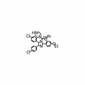 CCOc1ccc(C2=NC(c3ccc(Cl)cc3)C(c3ccc(Cl)cc3)N2C(=O)N2CCNCC2)c(OC(C)C)c1